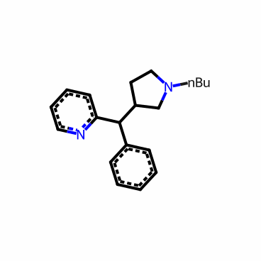 CCCCN1CCC(C(c2ccccc2)c2ccccn2)C1